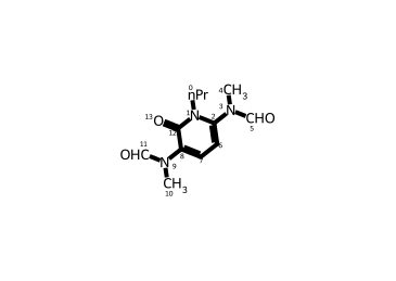 CCCn1c(N(C)C=O)ccc(N(C)C=O)c1=O